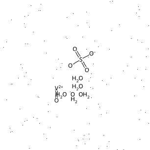 O.O.O.O.O.O=S(=O)([O-])[O-].[O]=[V+2]